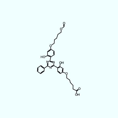 O=COCCCCCOc1ccc(-c2nc(-c3ccccc3)nc(-c3ccc(OCCCCCC(=O)O)cc3O)n2)c(O)c1